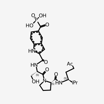 CC(=O)CC[C@H](NC(=O)[C@@H]1CCCN1C(=O)[C@H](CO)NC(=O)c1cc2cc(C(=O)P(=O)(O)O)ccc2[nH]1)C(C)C